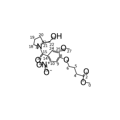 COC(=O)CCCOc1cc([N+](=O)[O-])c(C(=O)N2CCC[C@H]2CO)cc1OC